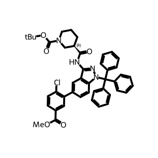 COC(=O)c1ccc(Cl)c(-c2ccc3c(c2)c(NC(=O)[C@@H]2CCCN(C(=O)OC(C)(C)C)C2)nn3C(c2ccccc2)(c2ccccc2)c2ccccc2)c1